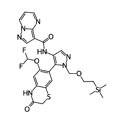 C[Si](C)(C)CCOCn1ncc(NC(=O)c2cnn3cccnc23)c1-c1cc2c(cc1OC(F)F)NC(=O)CS2